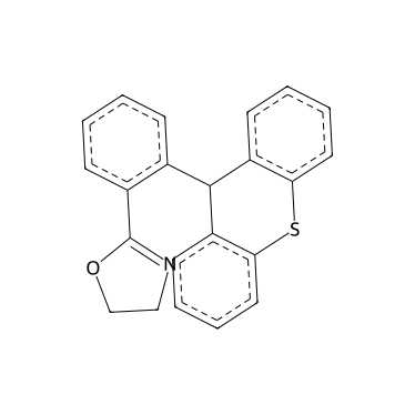 c1ccc2c(c1)Sc1ccccc1C2c1ccccc1C1=NCCO1